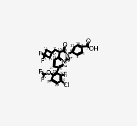 O=C(O)c1ccc(NC(=O)C(CC2CC(F)(F)C2)c2ccc(-c3c(OC(F)F)ccc(Cl)c3F)c[n+]2[O-])cc1